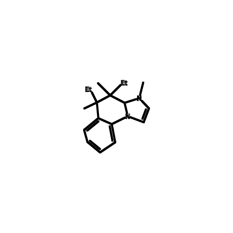 CCC1(C)c2ccccc2N2C=CN(C)C2C1(C)CC